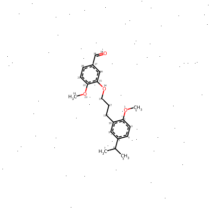 COc1ccc(C(C)C)cc1CCCOc1cc(C=O)ccc1OC